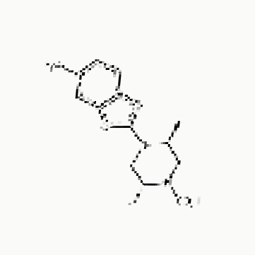 C[C@@H]1CN(c2nc3ccc(C(F)(F)F)cc3o2)[C@@H](C)CN1C(=O)O